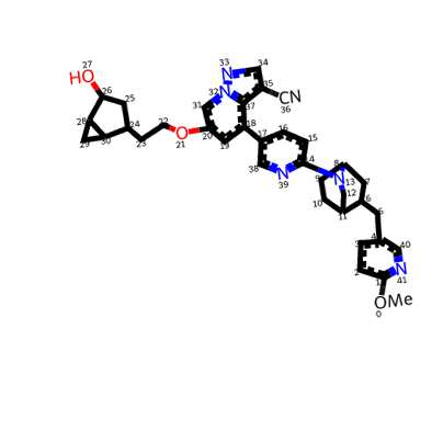 COc1ccc(CC2CC3CCC2CN3c2ccc(-c3cc(OCCC4CC(O)C5CC45)cn4ncc(C#N)c34)cn2)cn1